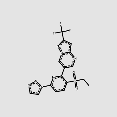 CCS(=O)(=O)c1ccc(-n2ccnn2)nc1-c1cnc2cc(C(F)(F)F)nn2c1